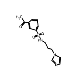 CC(=O)c1cccc(S(=O)(=O)NCCCn2ccnc2)c1